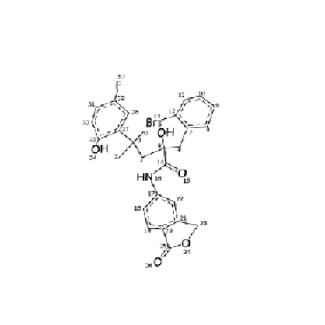 CC(C)(CC(O)(Cc1ccccc1Br)C(=O)Nc1ccc2c(c1)COC2=O)c1cc(F)ccc1O